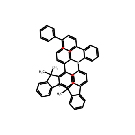 CC1(C)c2ccccc2-c2ccc(N(c3ccccc3-c3ccc(-c4ccccc4)cc3)c3ccccc3-c3cccc4c3C(C)(C)c3ccccc3-4)cc21